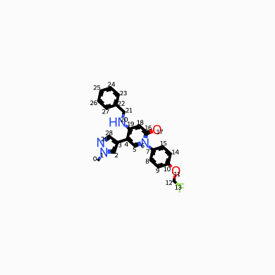 Cn1cc(-c2cn(-c3ccc(OCF)cc3)c(=O)cc2NCc2ccccc2)cn1